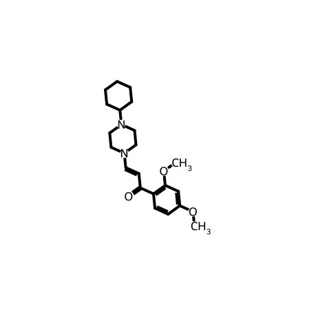 COc1ccc(C(=O)C=CN2CCN(C3CCCCC3)CC2)c(OC)c1